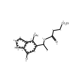 CCOC(=O)CCC(=O)OC(C)c1cc(Cl)c2[nH]ncc2c1OC(C)=O